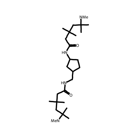 CNC(C)(C)CC(C)(C)CC(=O)NCC1CCC(NC(=O)CC(C)(C)CC(C)(C)NC)C1